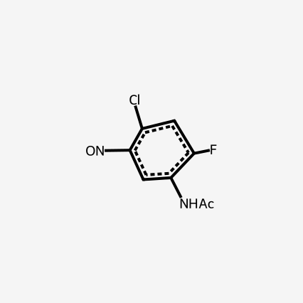 CC(=O)Nc1cc(N=O)c(Cl)cc1F